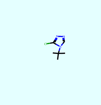 CC(C)(C)n1cnnc1Cl